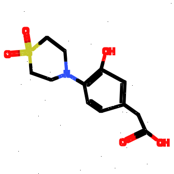 O=C(O)Cc1ccc(N2CCS(=O)(=O)CC2)c(O)c1